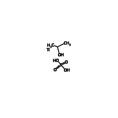 CC(C)O.O=S(=O)(O)O.[Ti]